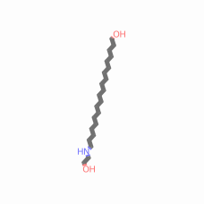 OCCCCCCCCCCCCCCCCCCCCNCCO